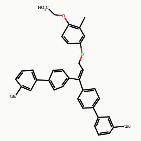 Cc1cc(OCC=C(c2ccc(-c3cccc(C(C)(C)C)c3)cc2)c2ccc(-c3cccc(C(C)(C)C)c3)cc2)ccc1OCC(=O)O